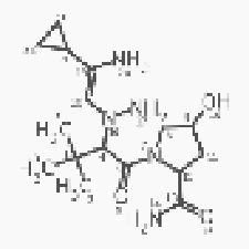 CC(C)(C)C(C(=O)N1CC(O)CC1C(N)=O)N(N)/C=C(\N)C1CC1